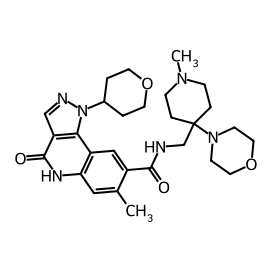 Cc1cc2[nH]c(=O)c3cnn(C4CCOCC4)c3c2cc1C(=O)NCC1(N2CCOCC2)CCN(C)CC1